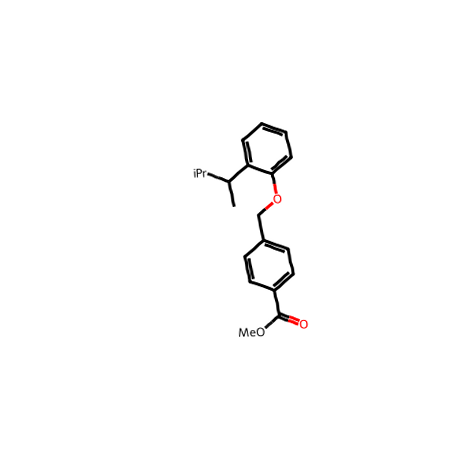 COC(=O)c1ccc(COc2ccccc2C(C)C(C)C)cc1